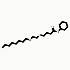 CCCCCCCCOCCOCCCC(=O)OC1CCCCC1